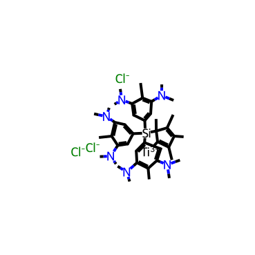 CC1=C(C)C(C)([Si](c2cc(N(C)C)c(C)c(N(C)C)c2)(c2cc(N(C)C)c(C)c(N(C)C)c2)c2cc(N(C)C)c(C)c(N(C)C)c2)[C]([Ti+3])=C1C.[Cl-].[Cl-].[Cl-]